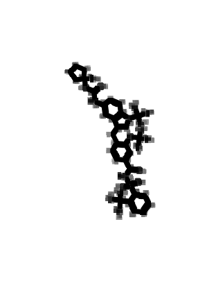 [2H]C([2H])([2H])Oc1cc(C(=O)NS(=O)(=O)c2ccccc2C([2H])([2H])[2H])ccc1Cc1cn(C([2H])([2H])[2H])c2ccc(NC(=O)OC3([2H])CCCC3)cc12